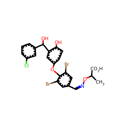 CC(O/N=C\c1cc(Br)c(Oc2ccc(O)c(C(O)c3cccc(Cl)c3)c2)c(Br)c1)C(=O)O